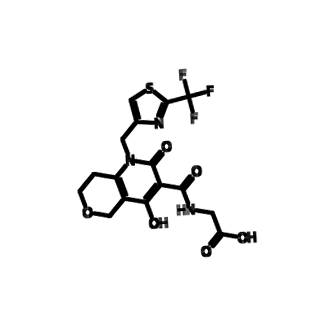 O=C(O)CNC(=O)c1c(O)c2c(n(Cc3csc(C(F)(F)F)n3)c1=O)CCOC2